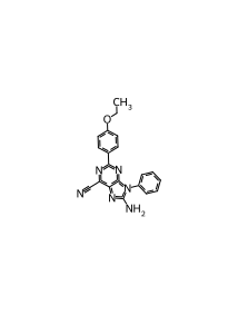 CCOc1ccc(-c2nc(C#N)c3nc(N)n(-c4ccccc4)c3n2)cc1